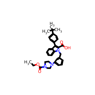 CCOC(=O)N1CCN(c2cccc(Cn3c(C(=O)O)c(-c4ccc(C(C)(C)C)cc4)c4ccccc43)c2)CC1